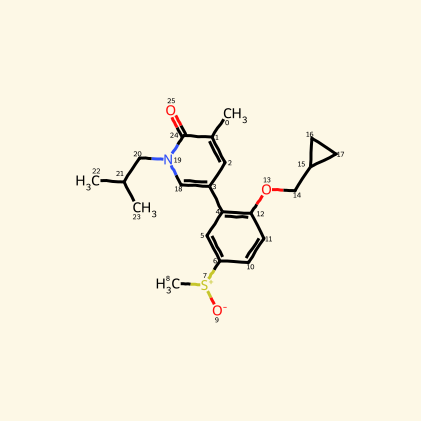 Cc1cc(-c2cc([S+](C)[O-])ccc2OCC2CC2)cn(CC(C)C)c1=O